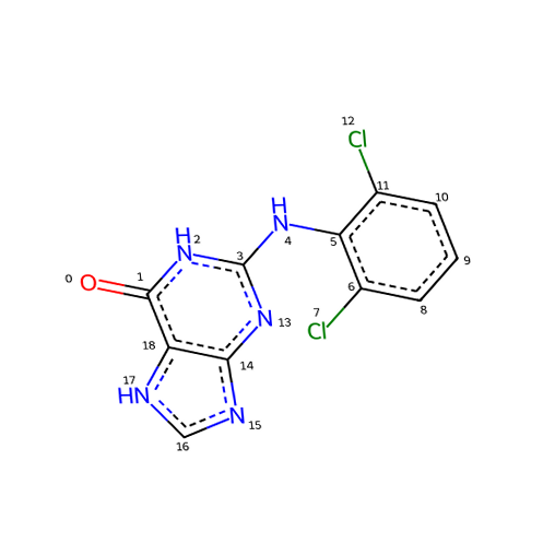 O=c1[nH]c(Nc2c(Cl)cccc2Cl)nc2nc[nH]c12